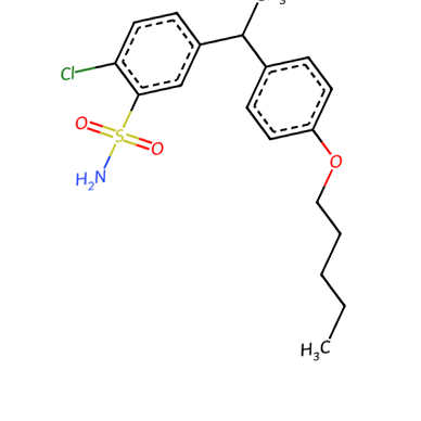 CCCCCOc1ccc(C(C)c2ccc(Cl)c(S(N)(=O)=O)c2)cc1